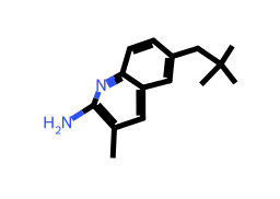 Cc1cc2cc(CC(C)(C)C)ccc2nc1N